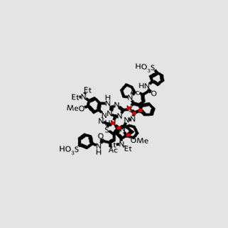 CCN(CC)c1cc(Nc2nc(Nc3cc(N(CC)CC)c(OC)cc3/N=N/c3nc(N4CCCCC4)c(/C=C(\C(C)=O)C(=O)Nc4cccc(S(=O)(=O)O)c4)s3)nc(SCc3ccccc3)n2)c(/N=N/c2nc(N3CCCCC3)c(/C=C(/C(C)=O)C(=O)Nc3cccc(S(=O)(=O)O)c3)s2)cc1OC